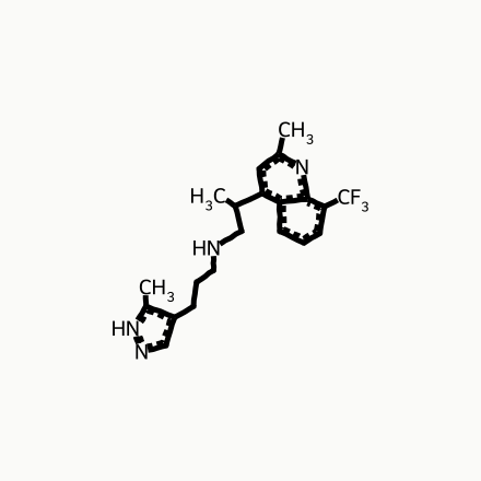 Cc1cc(C(C)CNCCCc2cn[nH]c2C)c2cccc(C(F)(F)F)c2n1